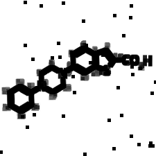 O=C(O)c1cc2ccc(N3CCN(c4ccccc4)CC3)cc2s1